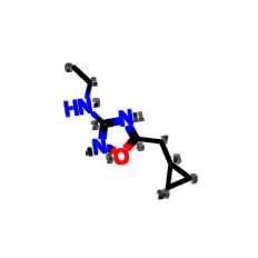 CCNc1noc(CC2CC2)n1